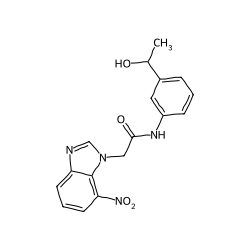 CC(O)c1cccc(NC(=O)Cn2cnc3cccc([N+](=O)[O-])c32)c1